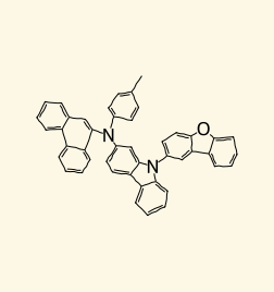 Cc1ccc(N(c2ccc3c4ccccc4n(-c4ccc5oc6ccccc6c5c4)c3c2)c2cc3ccccc3c3ccccc23)cc1